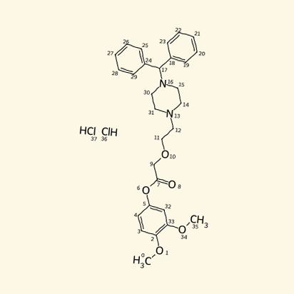 COc1ccc(OC(=O)COCCN2CCN(C(c3ccccc3)c3ccccc3)CC2)cc1OC.Cl.Cl